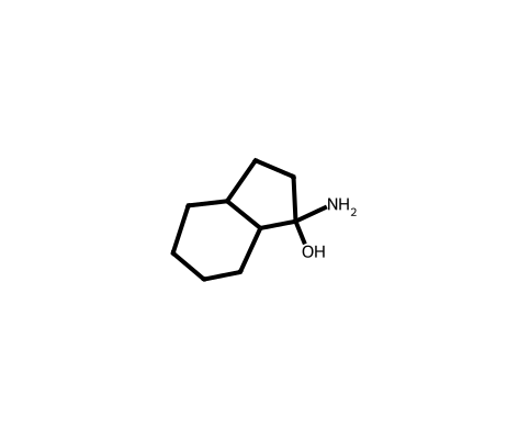 NC1(O)CCC2CCCCC21